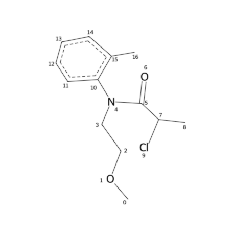 COCCN(C(=O)C(C)Cl)c1ccccc1C